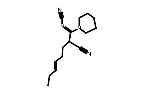 CC/C=C/CCC(C#N)/C(=N/C#N)N1CCCCC1